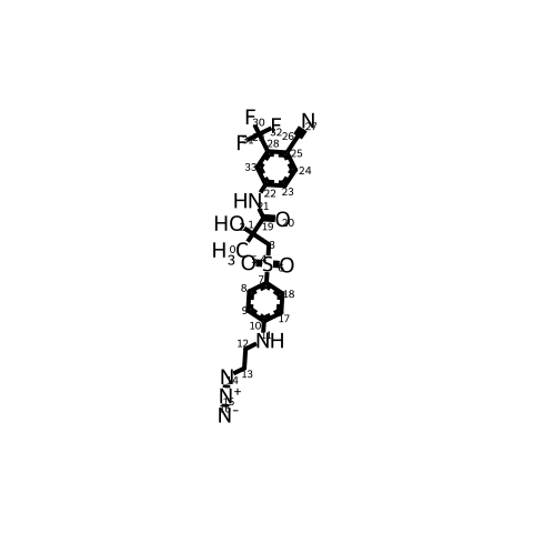 CC(O)(CS(=O)(=O)c1ccc(NCCN=[N+]=[N-])cc1)C(=O)Nc1ccc(C#N)c(C(F)(F)F)c1